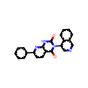 O=c1[nH]c2nc(-c3ccccc3)ccc2c(=O)n1-c1cncc2ccccc12